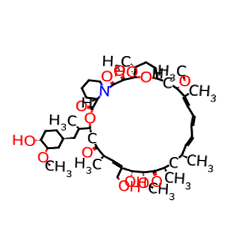 CO[C@H]1C[C@@H]2CC[C@@H](C)[C@@](O)(O2)C(=O)C(=O)N2CCCC[C@H]2C(=O)O[C@H]([C@H](C)C[C@@H]2CC[C@@H](O)[C@H](OC)C2)CC(=O)[C@H](C)/C=C(\CO)[C@@H](O)[C@@H](OC)C(=O)[C@H](C)C[C@H](C)/C=C/C=C/C=C/1C